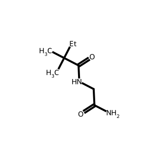 CCC(C)(C)C(=O)NCC(N)=O